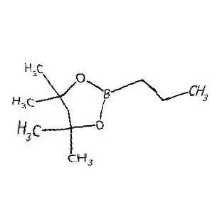 CCCB1OC(C)(C)C(C)(C)O1